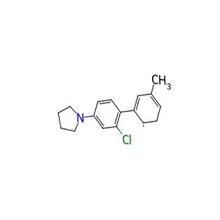 CC1=CC[CH]C(c2ccc(N3CCCC3)cc2Cl)=C1